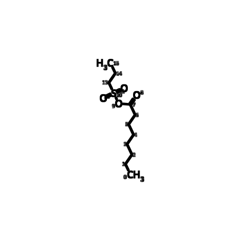 CCCCCCCC(=O)OS(=O)(=O)CCC